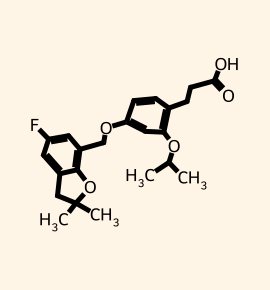 CC(C)Oc1cc(OCc2cc(F)cc3c2OC(C)(C)C3)ccc1CCC(=O)O